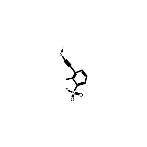 Cc1c(C#CSI)cccc1S(=O)(=O)F